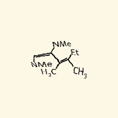 CC/C(C)=C(C)\C(=C/NC)NC